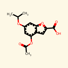 CC(=O)Oc1cc(OC(C)C)cc2oc(C(=O)O)cc12